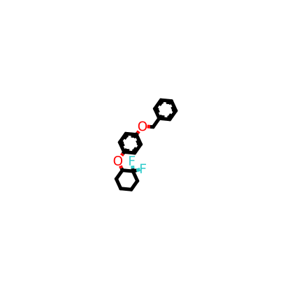 FC1(F)CCCCC1Oc1ccc(OCc2ccccc2)cc1